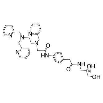 O=C(Cc1ccc(NC(=O)CN(CCN(Cc2ccccn2)Cc2ccccn2)Cc2ccccn2)cc1)NC[C@@H](O)CO